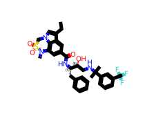 CCc1cn2c3c(cc(C(=O)N[C@@H](Cc4ccccc4)[C@H](O)CNC(C)(C)c4cccc(C(F)(F)F)c4)cc13)N(C)S(=O)(=O)C2